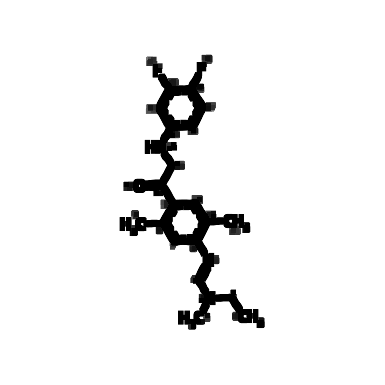 CCN(C)C=Nc1cc(C)c(C(=O)CNc2ccc(F)c(F)c2)cc1C